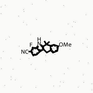 COc1ccc2c(c1)C(C)(C)c1[nH]c3c(F)c(C#N)ccc3c1C2